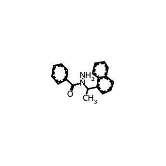 CC(c1cccc2ccccc12)N(N)C(=O)c1ccccc1